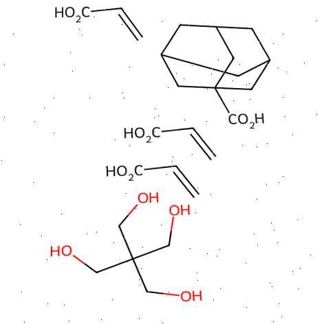 C=CC(=O)O.C=CC(=O)O.C=CC(=O)O.O=C(O)C12CC3CC(CC(C3)C1)C2.OCC(CO)(CO)CO